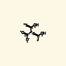 CC(O)=S.O=[N+]([O-])CC(O)=S